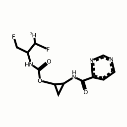 [2H]C(F)C(CF)NC(=O)OC1CC1NC(=O)c1ccncn1